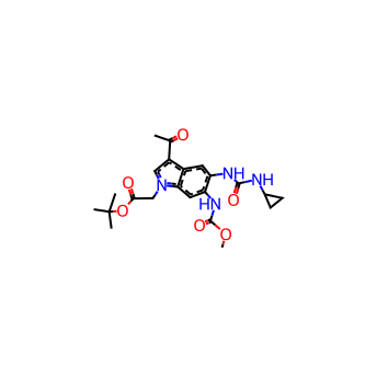 COC(=O)Nc1cc2c(cc1NC(=O)NC1CC1)c(C(C)=O)cn2CC(=O)OC(C)(C)C